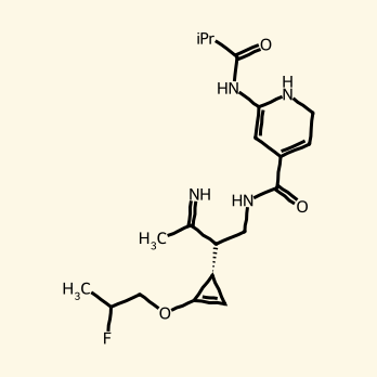 CC(=N)C(CNC(=O)C1=CCNC(NC(=O)C(C)C)=C1)[C@@H]1C=C1OCC(C)F